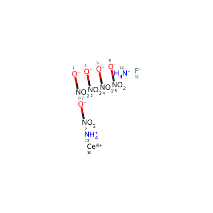 O=[N+]([O-])[O-].O=[N+]([O-])[O-].O=[N+]([O-])[O-].O=[N+]([O-])[O-].O=[N+]([O-])[O-].[Ce+4].[F-].[NH4+].[NH4+]